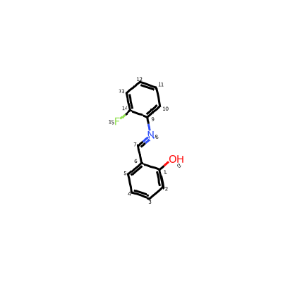 Oc1ccccc1/C=N/c1ccccc1F